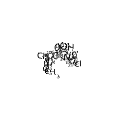 COc1ccc2c(OCC3(C(=O)O)CCN(c4ccc(Cl)cc4Cl)CC3)ccc(Cl)c2n1